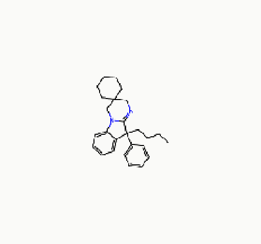 CCCCC1(c2ccccc2)C2=NCC3(CCCCC3)CN2c2ccccc21